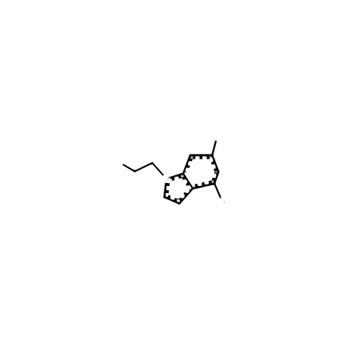 OCCn1ccc2c(Br)cc(F)cc21